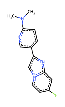 CN(C)c1ccc(-c2cn3ccc(F)cc3n2)cn1